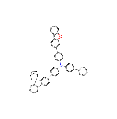 c1ccc(-c2ccc(N(c3ccc(-c4ccc5c(c4)C4(CC6CCC4C6)c4ccccc4-5)cc3)c3ccc(-c4ccc5c(c4)oc4ccccc45)cc3)cc2)cc1